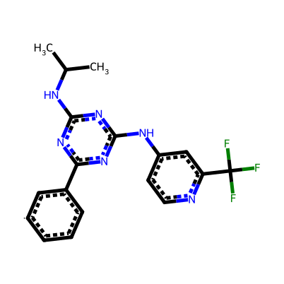 CC(C)Nc1nc(Nc2ccnc(C(F)(F)F)c2)nc(-c2c[c]ccc2)n1